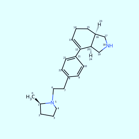 C[C@@H]1CCCN1CCc1ccc(C2=CCC[C@H]3CNC[C@@H]23)cc1